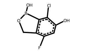 OB1OCc2c(F)cc(O)c(Cl)c21